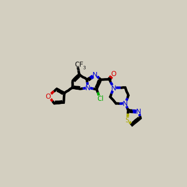 O=C(c1nc2c(C(F)(F)F)cc(-c3ccoc3)cn2c1Cl)N1CCN(c2nccs2)CC1